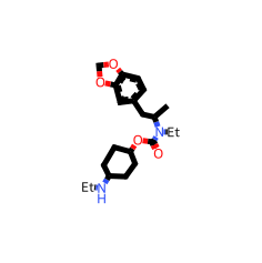 CCNC1CCC(OC(=O)N(CC)C(C)Cc2ccc3c(c2)OCO3)CC1